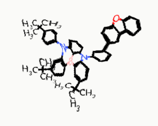 CC(C)(C)c1ccc(N2c3cc(C(C)(C)C)ccc3B3c4cc(C(C)(C)C)ccc4N(c4cccc(-c5ccc6oc7ccccc7c6c5)c4)c4cccc2c43)cc1